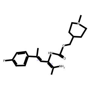 C/C(N)=C(\C=C(/C)c1ccc(F)cc1)NC(=O)OCC1CCN(C)CC1